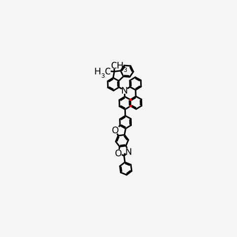 CC1(C)c2ccccc2-c2c(N(c3ccc(-c4ccc5c(c4)oc4cc6oc(-c7ccccc7)nc6cc45)cc3)c3ccccc3-c3ccccc3)cccc21